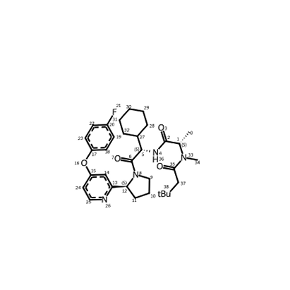 C[C@@H](C(=O)N[C@H](C(=O)N1CCC[C@H]1c1cc(Oc2ccc(F)cc2)ccn1)C1CCCCC1)N(C)C(=O)CC(C)(C)C